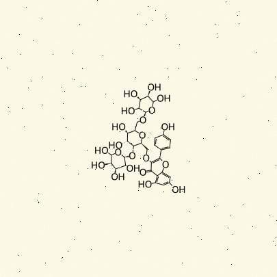 O=c1c(OC[C@@H]2OC(CO[C@@H]3OC(O)[C@H](O)[C@H](O)C3O)[C@H](O)[C@@H](O)C2O[C@@H]2OC(O)[C@H](O)[C@H](O)C2O)c(-c2ccc(O)cc2)oc2cc(O)cc(O)c12